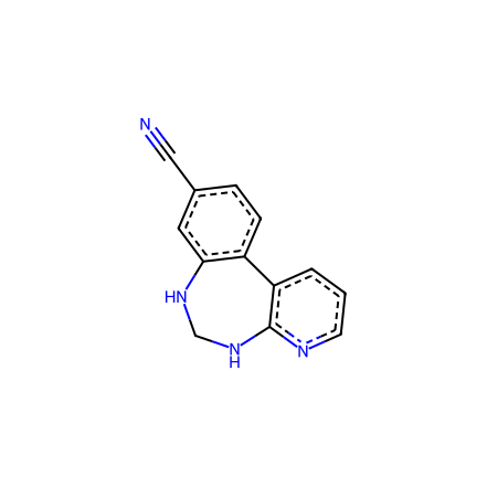 N#Cc1ccc2c(c1)NCNc1ncccc1-2